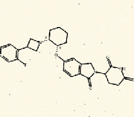 O=C1CCC(N2Cc3cc(O[C@H]4CCCC[C@H]4N4CC(c5ccncc5F)C4)ccc3C2=O)C(=O)N1